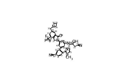 Cn1cnnc1-c1ccc(C#N)cc1-c1cc(NC[C@@H](O)CC#N)nc(N2Cc3c(cc(CN4CCC4)cc3C(F)(F)F)C2=O)c1